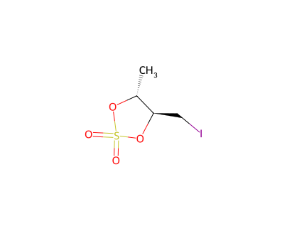 C[C@H]1OS(=O)(=O)O[C@@H]1CI